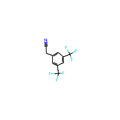 N#C[CH]c1cc(C(F)(F)F)cc(C(F)(F)F)c1